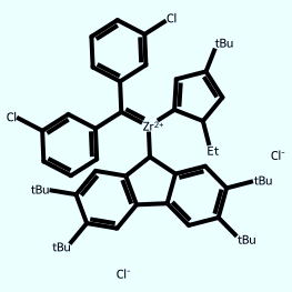 CCC1C=C(C(C)(C)C)C=[C]1[Zr+2](=[C](c1cccc(Cl)c1)c1cccc(Cl)c1)[CH]1c2cc(C(C)(C)C)c(C(C)(C)C)cc2-c2cc(C(C)(C)C)c(C(C)(C)C)cc21.[Cl-].[Cl-]